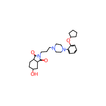 O=C1C2CCC(O)CC2C(=O)N1CCCN1CCN(c2ccccc2OC2CCCC2)CC1